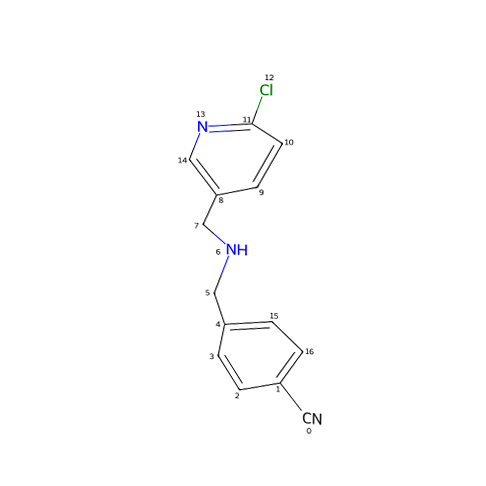 N#Cc1ccc(CNCc2ccc(Cl)nc2)cc1